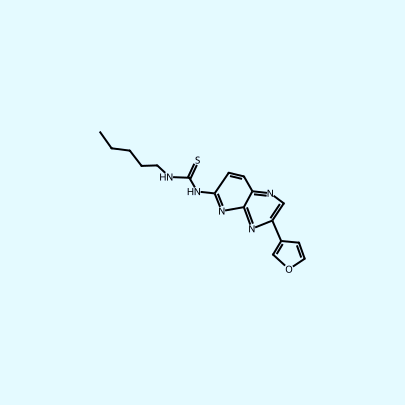 CCCCCNC(=S)Nc1ccc2ncc(-c3ccoc3)nc2n1